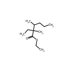 CCCC(C)C(C)(CC)C(=O)OCC